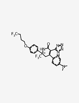 CN(C)c1ccc(C2=C(c3nnn[nH]3)C(=O)N[C@@](c3ccc(OCCCC(F)(F)F)cc3)(C(F)(F)F)C2)nc1